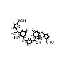 Cc1cc(Cc2ccc(C=O)o2)c(O)c(C(O)c2ccc(Cc3cc(C)cc(C(O)c4ccc(CO)o4)c3O)o2)c1